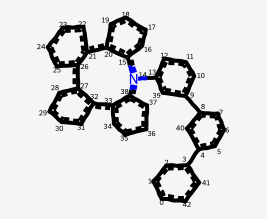 c1ccc(-c2cccc(-c3cccc(-n4c5ccccc5c5ccccc5c5ccccc5c5ccccc54)c3)c2)cc1